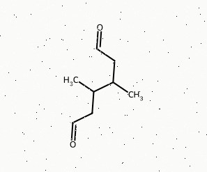 CC(C[C]=O)C(C)C[C]=O